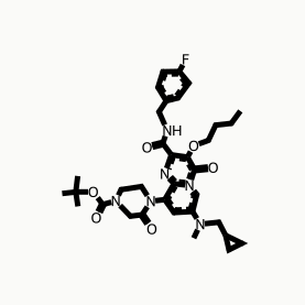 CCCCOc1c(C(=O)NCc2ccc(F)cc2)nc2c(N3CCN(C(=O)OC(C)(C)C)CC3=O)cc(N(C)CC3CC3)cn2c1=O